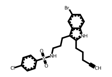 C#CCCCc1[nH]c2ccc(Br)cc2c1CCCNS(=O)(=O)c1ccc(Cl)cc1